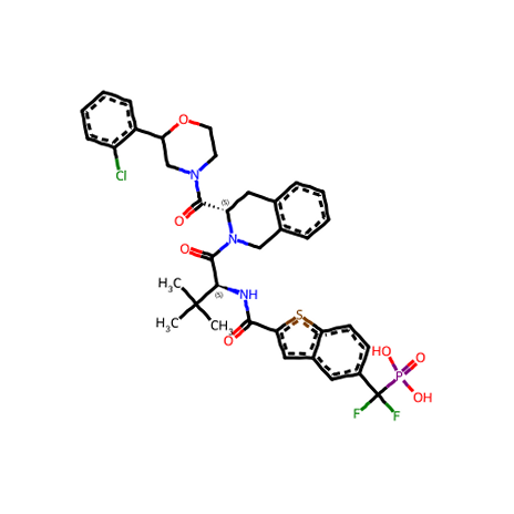 CC(C)(C)[C@H](NC(=O)c1cc2cc(C(F)(F)P(=O)(O)O)ccc2s1)C(=O)N1Cc2ccccc2C[C@H]1C(=O)N1CCOC(c2ccccc2Cl)C1